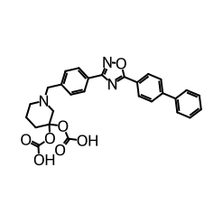 O=C(O)OC1(OC(=O)O)CCCN(Cc2ccc(-c3noc(-c4ccc(-c5ccccc5)cc4)n3)cc2)C1